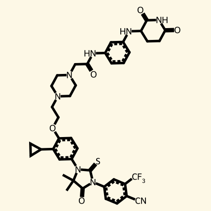 CC1(C)C(=O)N(c2ccc(C#N)c(C(F)(F)F)c2)C(=S)N1c1ccc(OCCN2CCN(CC(=O)Nc3cccc(NC4CCC(=O)NC4=O)c3)CC2)c(C2CC2)c1